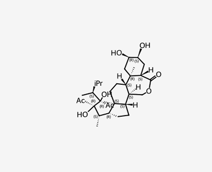 CC(=O)[C@@](O)([C@@H](C)C(C)C)[C@@](O)(C(C)=O)[C@@H](C)[C@H]1CC[C@H]2[C@@H]3COC(=O)[C@H]4C[C@H](O)[C@H](O)C[C@]4(C)[C@H]3CC[C@]12C